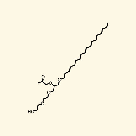 CCCCCCCCCCCCCCCCCCOCC(COCCOCCO)OCC(C)=O